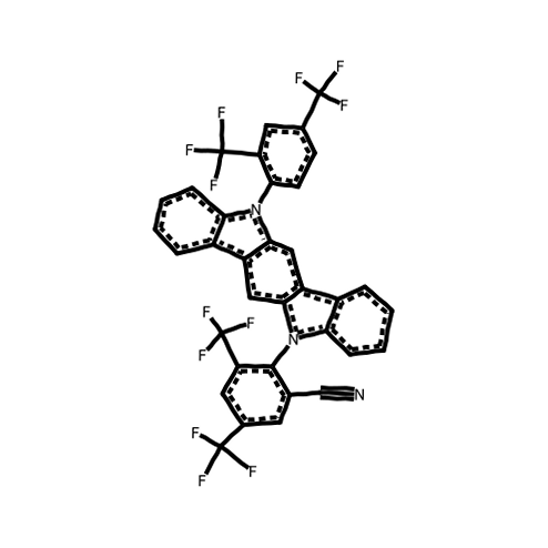 N#Cc1cc(C(F)(F)F)cc(C(F)(F)F)c1-n1c2ccccc2c2cc3c(cc21)c1ccccc1n3-c1ccc(C(F)(F)F)cc1C(F)(F)F